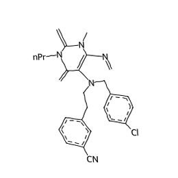 C=NC1=C(N(CCc2cccc(C#N)c2)Cc2ccc(Cl)cc2)C(=C)N(CCC)C(=C)N1C